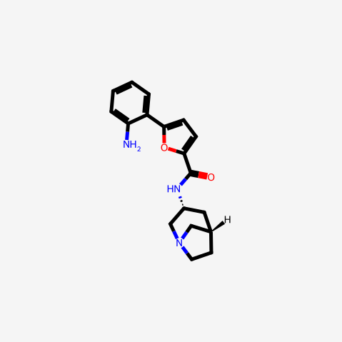 Nc1ccccc1-c1ccc(C(=O)N[C@@H]2C[C@@H]3CCN(C3)C2)o1